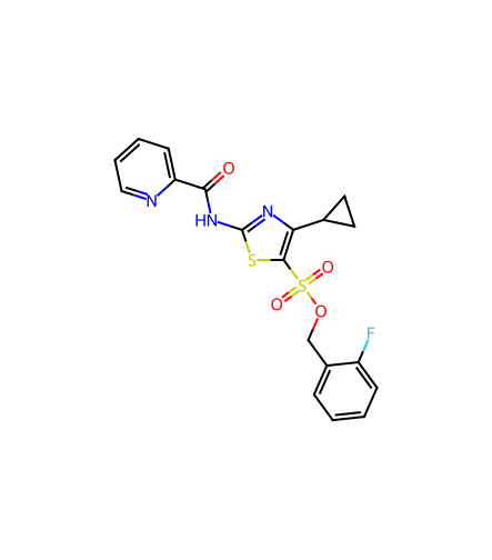 O=C(Nc1nc(C2CC2)c(S(=O)(=O)OCc2ccccc2F)s1)c1ccccn1